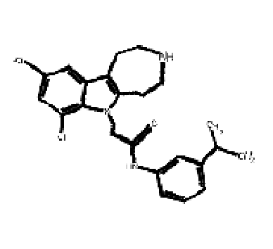 CC(C)c1cccc(NC(=O)Cn2c3c(c4cc(Cl)cc(Cl)c42)CCNCC3)c1